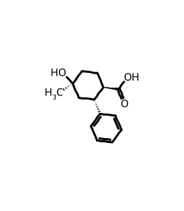 C[C@]1(O)CC[C@@H](C(=O)O)[C@H](c2ccccc2)C1